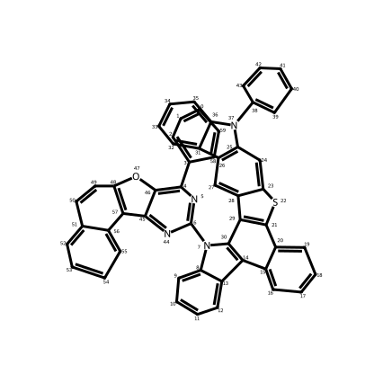 c1ccc(-c2nc(-n3c4ccccc4c4c5ccccc5c5sc6cc7c(cc6c5c43)c3ccccc3n7-c3ccccc3)nc3c2oc2ccc4ccccc4c23)cc1